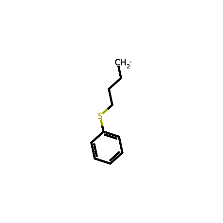 [CH2]CCCSc1ccccc1